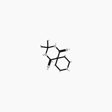 CC1(C)OC(=O)C2(CCSCC2)C(=O)O1